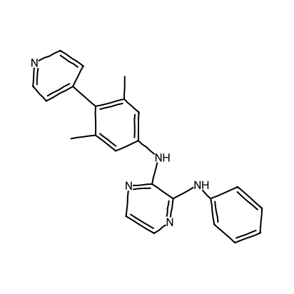 Cc1cc(Nc2nccnc2Nc2ccccc2)cc(C)c1-c1ccncc1